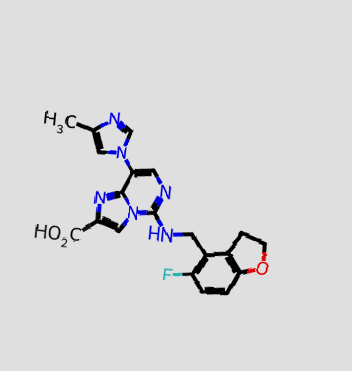 Cc1cn(-c2cnc(NCc3c(F)ccc4c3CCO4)n3cc(C(=O)O)nc23)cn1